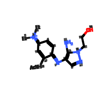 CC[N+](CC)=C1C=CC(=Nc2cnn(CCO)c2N)C(NC(C)=O)=C1